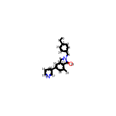 CCc1ccc(CN2Cc3cc(-c4cccnc4)cc(C)c3C2=O)cc1